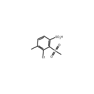 CCc1c(C)ccc(S(=O)(=O)O)c1S(C)(=O)=O